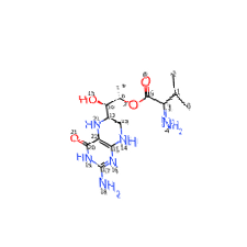 CC(C)C(N)C(=O)O[C@@H](C)[C@H](O)[C@H]1CNc2nc(N)[nH]c(=O)c2N1